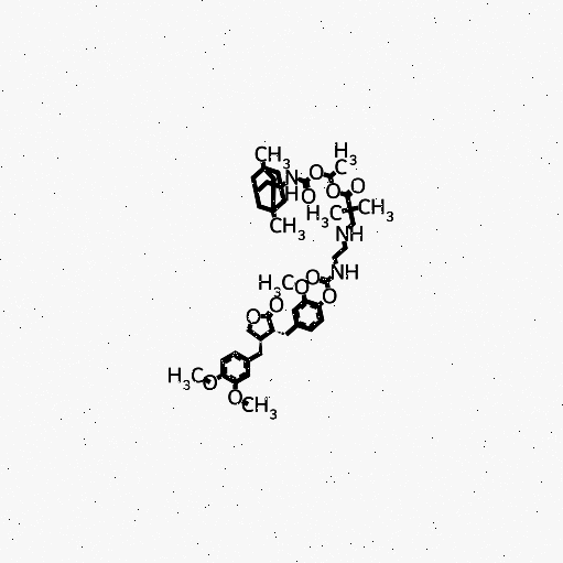 COc1ccc(C[C@H]2COC(=O)[C@@H]2Cc2ccc(OC(=O)NCCNCC(C)(C)C(=O)OC(C)OC(=O)NC34CC5CC(C)(CC(C)(C5)C3)C4)c(OC)c2)cc1OC